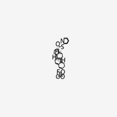 C[C@]12CC[C@H]3[C@@H](CC=C4C=C(OS(=O)(=O)F)CC[C@@]43C)[C@@H]1CC[C@@H]2C(=O)Sc1ccccn1